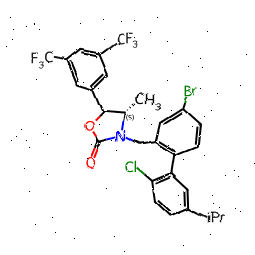 CC(C)c1ccc(Cl)c(-c2ccc(Br)cc2CN2C(=O)OC(c3cc(C(F)(F)F)cc(C(F)(F)F)c3)[C@@H]2C)c1